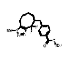 CCC(C)OC(=O)c1ccc(CC2CCCCc3c(nnn3C(C)CC)C2(F)F)cc1